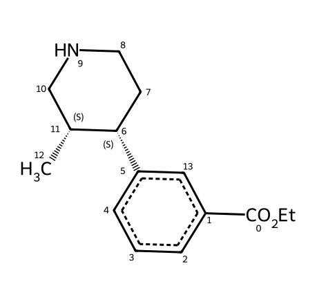 CCOC(=O)c1cccc([C@H]2CCNC[C@H]2C)c1